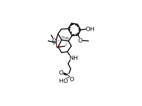 COc1c(O)ccc2c1[C@]13CCN(C)C(C2)[C@]1(OC)CCC(NCCS(=O)(=O)O)C3